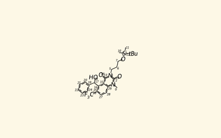 Cn1c(=O)n(CCCO[Si](C)(C)C(C)(C)C)c(=O)c2c(C(O)c3ccccc3)c(C(F)(F)F)ccc21